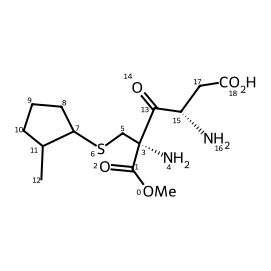 COC(=O)[C@@](N)(CSC1CCCC1C)C(=O)[C@@H](N)CC(=O)O